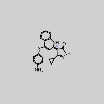 Nc1ccc(SC2=C/C(=C3/C(=O)NN=C3C3CC3)Nc3ccccc32)cc1